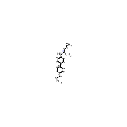 C=C/C=C(\C)Nc1ccc(-c2ccc(CCC)cc2)cc1